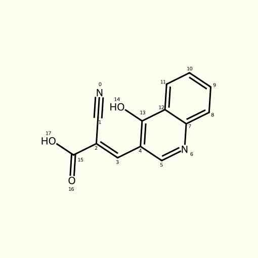 N#CC(=Cc1cnc2ccccc2c1O)C(=O)O